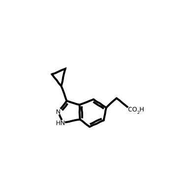 O=C(O)Cc1ccc2[nH]nc(C3CC3)c2c1